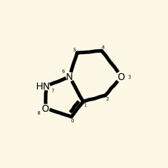 C1=C2COCCN2NO1